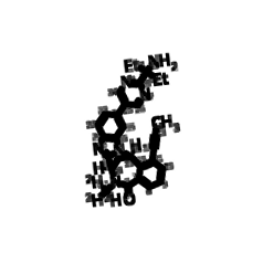 [2H]C([2H])([2H])N1C(=O)c2cccc(C#CC)c2[C@H]2C[C@@H]1c1nc3ccc(-c4cnc(C(N)(CC)CC)nc4)cc3n12